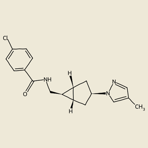 Cc1cnn([C@H]2C[C@@H]3[C@@H](CNC(=O)c4ccc(Cl)cc4)[C@@H]3C2)c1